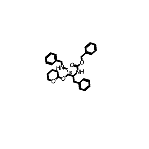 O=C(NC(Cc1ccccc1)[C@@H](CNCc1ccccc1)OC1CCCCO1)OCc1ccccc1